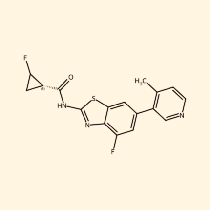 Cc1ccncc1-c1cc(F)c2nc(NC(=O)[C@@H]3CC3F)sc2c1